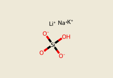 [K+].[Li+].[Na+].[O-][Si]([O-])([O-])O